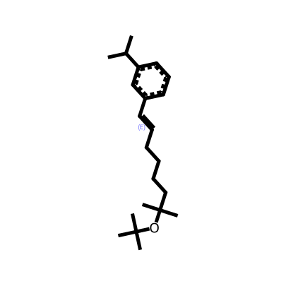 CC(C)c1cccc(/C=C/CCCCC(C)(C)OC(C)(C)C)c1